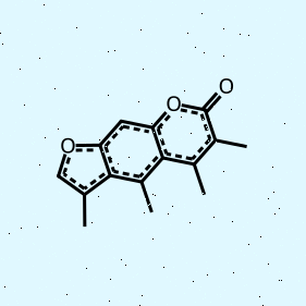 Cc1c(C)c2c(C)c3c(C)coc3cc2oc1=O